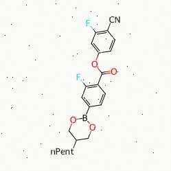 CCCCCC1COB(c2ccc(C(=O)Oc3ccc(C#N)c(F)c3)c(F)c2)OC1